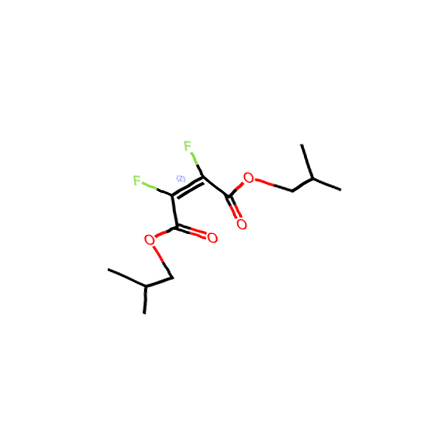 CC(C)COC(=O)/C(F)=C(/F)C(=O)OCC(C)C